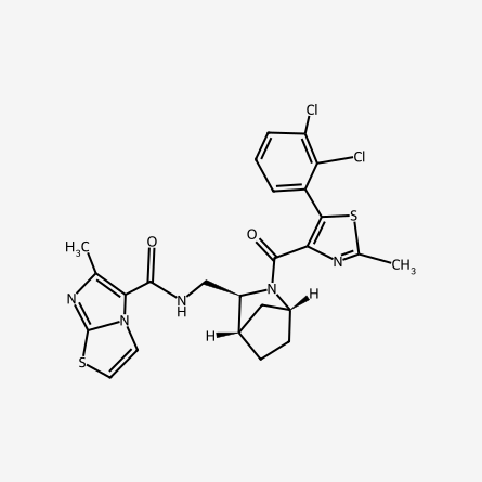 Cc1nc(C(=O)N2[C@@H]3CC[C@@H](C3)[C@H]2CNC(=O)c2c(C)nc3sccn23)c(-c2cccc(Cl)c2Cl)s1